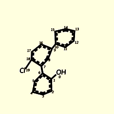 Oc1ccccc1-c1cc(-c2ccccc2)ccc1Cl